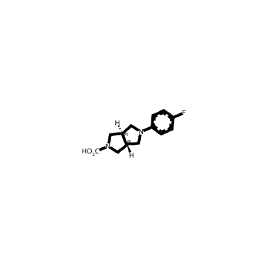 O=C(O)N1C[C@H]2CN(c3ccc(F)cc3)C[C@@H]2C1